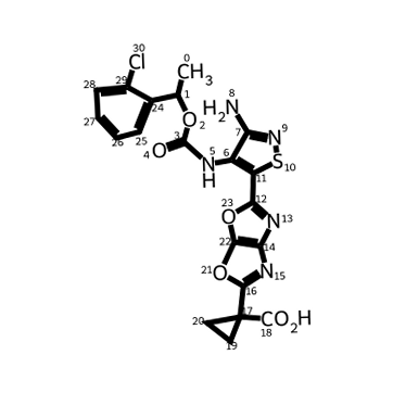 CC(OC(=O)Nc1c(N)nsc1-c1nc2nc(C3(C(=O)O)CC3)oc2o1)c1ccccc1Cl